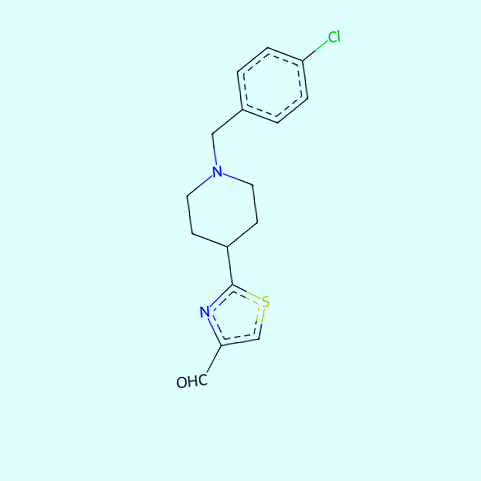 O=Cc1csc(C2CCN(Cc3ccc(Cl)cc3)CC2)n1